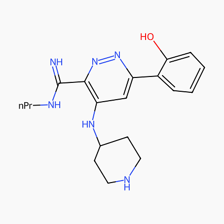 CCCNC(=N)c1nnc(-c2ccccc2O)cc1NC1CCNCC1